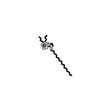 CCCCCCCCCCCCCCCCN1C=CN(C)C1OP(=O)(OCCCC)OCCCC